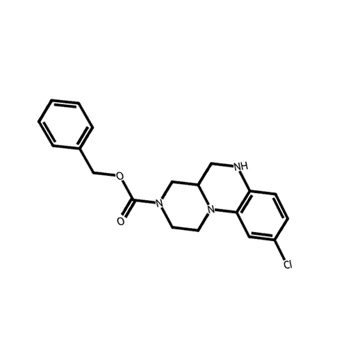 O=C(OCc1ccccc1)N1CCN2c3cc(Cl)ccc3NCC2C1